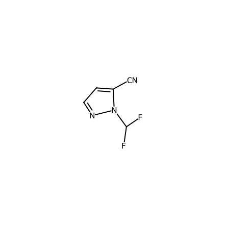 N#Cc1ccnn1C(F)F